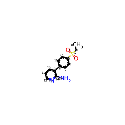 CCS(=O)(=O)c1ccc(-c2cccnc2N)cc1